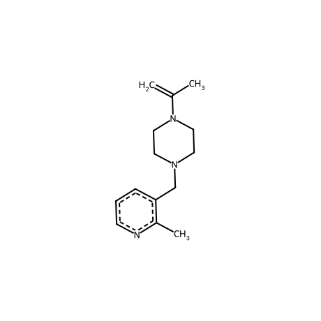 C=C(C)N1CCN(Cc2cccnc2C)CC1